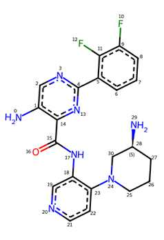 Nc1cnc(-c2cccc(F)c2F)nc1C(=O)Nc1cnccc1N1CCC[C@H](N)C1